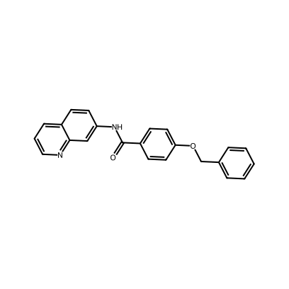 O=C(Nc1ccc2cccnc2c1)c1ccc(OCc2ccccc2)cc1